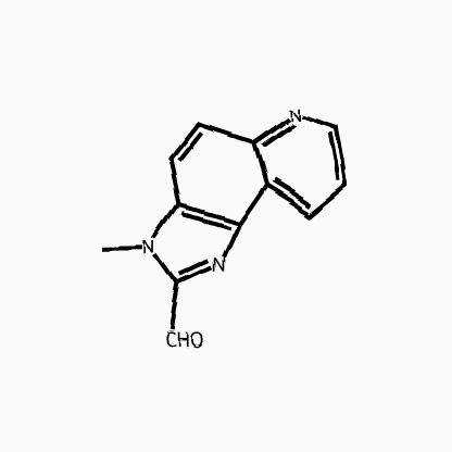 Cn1c(C=O)nc2c3cccnc3ccc21